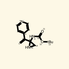 C=C(c1ccncc1)C1(NC(=O)OC(C)(C)C)CN1